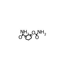 NC(=O)O[C@@H]1CCC[C@@H](C(N)=O)C1